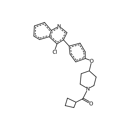 O=C(C1CCC1)N1CCC(Oc2ccc(-c3cnc4ccccc4c3Cl)cc2)CC1